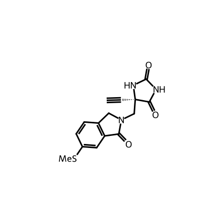 C#C[C@]1(CN2Cc3ccc(SC)cc3C2=O)NC(=O)NC1=O